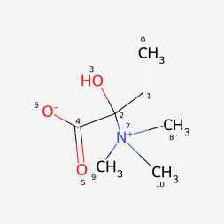 CCC(O)(C(=O)[O-])[N+](C)(C)C